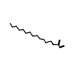 C=CC(=C)CCCCCCCCCCCCCC